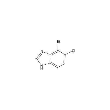 CCc1c(Cl)ccc2[nH][c]nc12